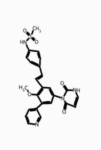 COc1c(/C=C/c2ccc(NS(C)(=O)=O)cc2)cc(-n2c(=O)cc[nH]c2=O)cc1-c1cccnc1